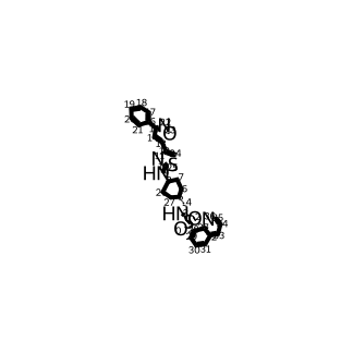 O=S(=O)(NC[C@H]1CC[C@H](Nc2nc(-c3cc(-c4ccccc4)no3)cs2)CC1)c1cccc2cccnc12